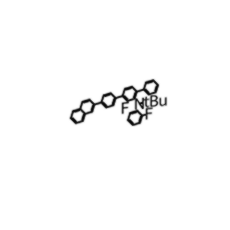 CC(C)(C)N(c1ccccc1F)c1c(-c2ccccc2)ccc(-c2ccc(-c3ccc4ccccc4c3)cc2)c1F